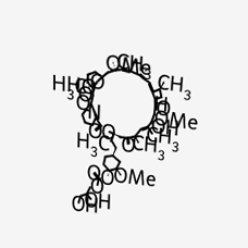 CO[C@H]1CC2CC[C@@H](C)[C@@](O)(O2)C(=O)C(=O)N2CCCCC2C(=O)O[C@H]([C@H](C)C[C@@H]2CC[C@@H](OC(=O)OCC(O)CO)[C@H](OC)C2)CC(=O)[C@H](C)/C=C(\C)[C@@H](O)[C@@H](OC)C(=O)[C@H]2C[C@H](C)/C2=C/C=C/C=C/1C